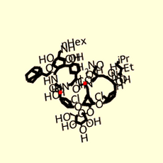 CCCCCCNCc1c(O)cc2c(c1O)-c1cc(ccc1O)[C@H]1CC(=O)[C@@H]3NC(=O)[C@H](CC(N)=O)CC(=O)[C@H](NC(=O)[C@H](CC)CC(C)C)[C@H](O)c4ccc(c(Cl)c4)Oc4cc3cc(c4O[C@@H]3O[C@H](CO)[C@@H](O)[C@H](O)[C@H]3O)Oc3ccc(cc3Cl)[C@@H](O)[C@H](NC1=O)C(=O)N[C@@H]2C(=O)CC1C2CC3CC(C2)CC1C3